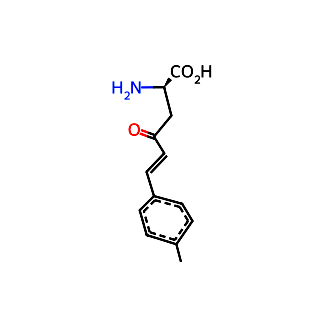 Cc1ccc(C=CC(=O)C[C@@H](N)C(=O)O)cc1